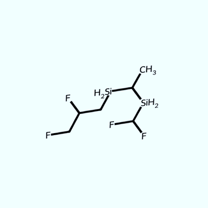 CC([SiH2]CC(F)CF)[SiH2]C(F)F